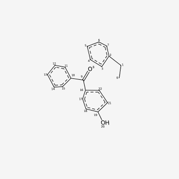 CCc1ccccc1.O=C(c1ccccc1)c1ccc(O)cc1